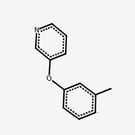 Cc1[c]ccc(Oc2cccnc2)c1